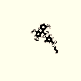 CCCCOC(=O)c1cc(C)c(OC(=O)c2c3cc(OC)ccc3nc3c(OC)cc(OC)cc23)c(C)c1